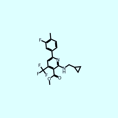 COC(=O)c1c(C(F)(F)F)cc(-c2ccc(C)c(F)c2)nc1NCC1CC1